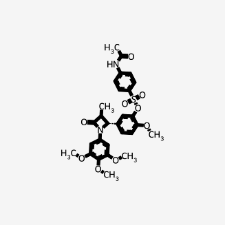 COc1ccc([C@H]2C(C)C(=O)N2c2cc(OC)c(OC)c(OC)c2)cc1OS(=O)(=O)c1ccc(NC(C)=O)cc1